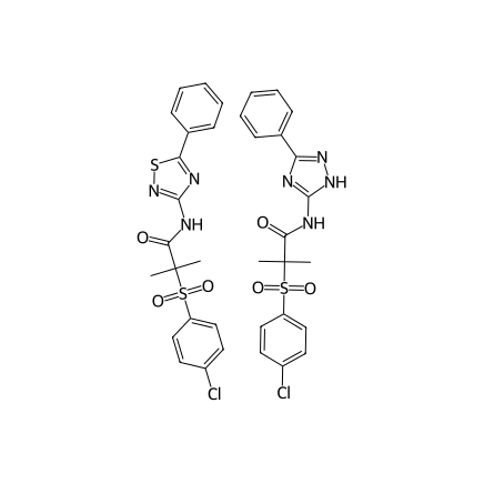 CC(C)(C(=O)Nc1nc(-c2ccccc2)n[nH]1)S(=O)(=O)c1ccc(Cl)cc1.CC(C)(C(=O)Nc1nsc(-c2ccccc2)n1)S(=O)(=O)c1ccc(Cl)cc1